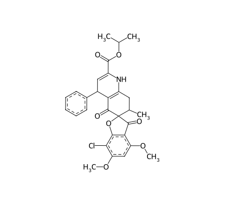 COc1cc(OC)c2c(c1Cl)OC1(C(=O)C3=C(CC1C)NC(C(=O)OC(C)C)=CC3c1ccccc1)C2=O